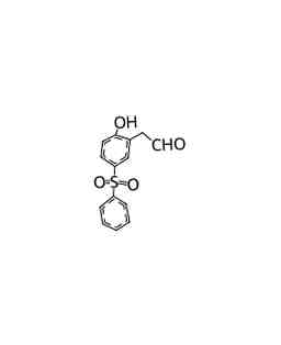 O=CCc1cc(S(=O)(=O)c2ccccc2)ccc1O